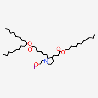 CCCCCCCCCCCOC(=O)CCC1CCCN(CCOI)C1CCCCCC(=O)OC(CCCCCCCC)CCCCCCCC